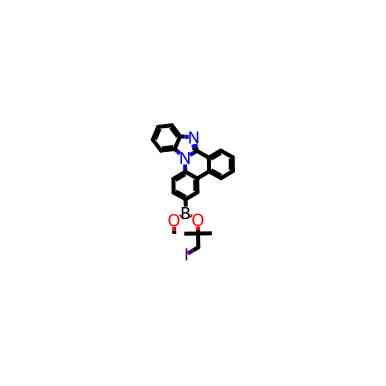 COB(OC(C)(C)CI)c1ccc2c(c1)c1ccccc1c1nc3ccccc3n21